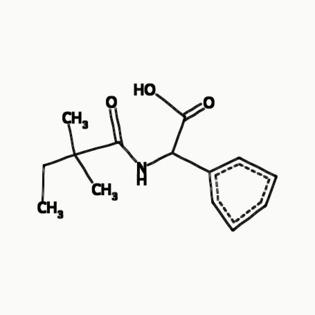 CCC(C)(C)C(=O)NC(C(=O)O)c1ccccc1